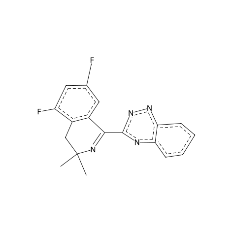 CC1(C)Cc2c(F)cc(F)cc2C(c2nnc3ccccc3n2)=N1